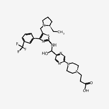 CC[C@@H]1CCCN1Cc1sc(NC(O)c2cnc(N3CCN(CCC(=O)O)CC3)cn2)nc1-c1cccc(C(F)(F)F)c1